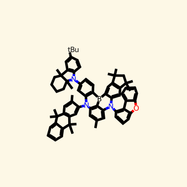 Cc1cc2c3c(c1)N(c1cccc4oc5ccccc5c14)c1cc4c(cc1B3c1ccc(N3c5ccc(C(C)(C)C)cc5C5(C)CCCCC35C)cc1N2c1cc2c(cc1C)C(C)(C)c1ccccc1C2(C)C)C(C)(C)CC4(C)C